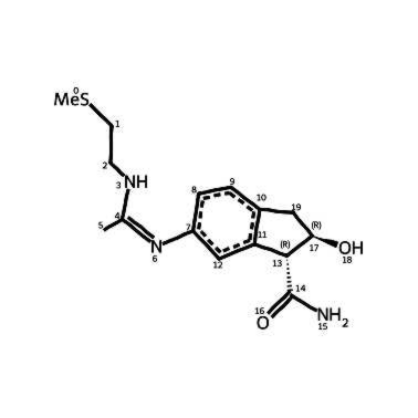 CSCCNC(C)=Nc1ccc2c(c1)[C@@H](C(N)=O)[C@H](O)C2